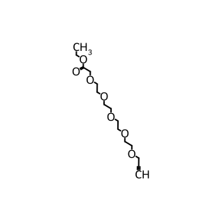 C#CCOCCOCCOCCOCCOCC(=O)OCC